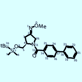 CON=C1C[C@H](CO[Si](C)(C)C(C)(C)C)N(C(=O)c2ccc(-c3ccccc3)cc2)C1